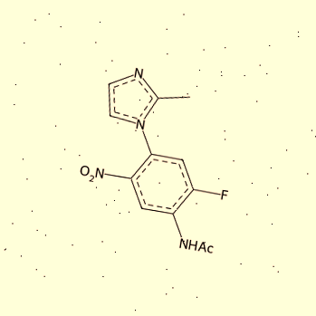 CC(=O)Nc1cc([N+](=O)[O-])c(-n2ccnc2C)cc1F